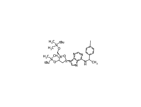 CC(Nc1ncnc2c1ncn2[C@H]1CC(O[Si](C)(C)C(C)(C)C)[C@@H](CO[Si](C)(C)C(C)(C)C)O1)c1ccc(I)cc1